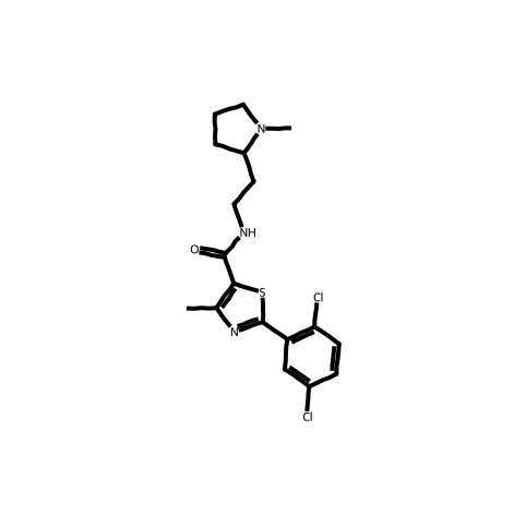 Cc1nc(-c2cc(Cl)ccc2Cl)sc1C(=O)NCCC1CCCN1C